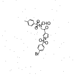 Cc1ccc(S(=O)(=O)N(C=O)CC(=O)c2ccn(S(=O)(=O)c3ccc(Br)cc3)c2)cc1